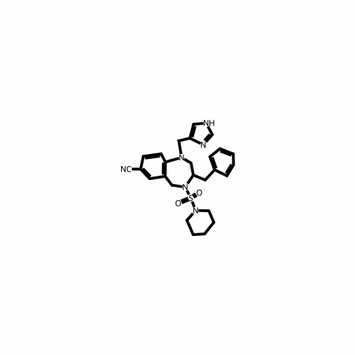 N#Cc1ccc2c(c1)CN(S(=O)(=O)N1CCCCC1)C(Cc1ccccc1)CN2Cc1c[nH]cn1